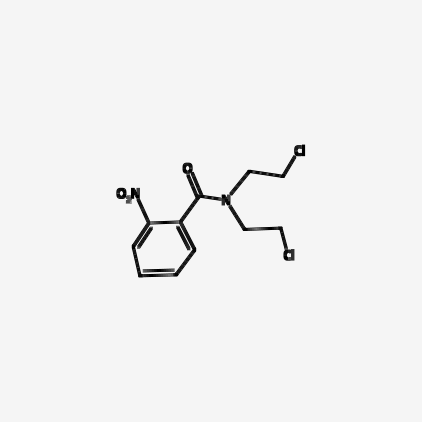 O=C(c1ccccc1[N+](=O)[O-])N(CCCl)CCCl